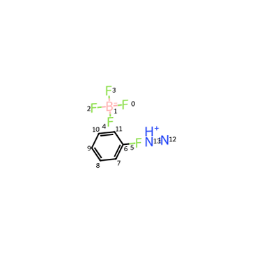 F[B-](F)(F)F.Fc1ccccc1.N#[NH+]